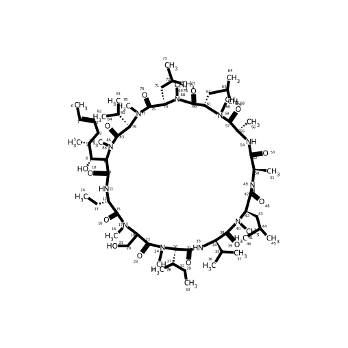 C/C=C/C[C@@H](C)[C@@H](O)C1C(=O)N[C@@H](CC)C(=O)N(C)C(CO)C(=O)N(C)[C@@H](C(C)CC)C(=O)N[C@H](C(C)C)C(=O)N(C)[C@H](CC(C)C)C(=O)N[C@H](C)C(=O)N[C@@H](C)C(=O)N(C)[C@@H](CC(C)C)C(=O)N(C)[C@@H](CC(C)C)C(=O)N(C)[C@@H](C(C)C)C(=O)N1C